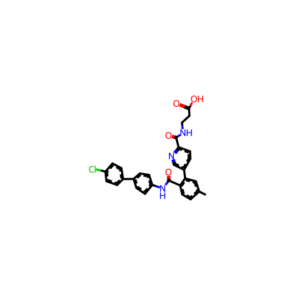 Cc1ccc(C(=O)Nc2ccc(-c3ccc(Cl)cc3)cc2)c(-c2ccc(C(=O)NCCC(=O)O)nc2)c1